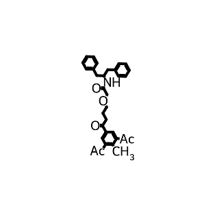 CC(=O)c1cc(C(=O)CCCOCC(=O)NC(Cc2ccccc2)Cc2ccccc2)cc(C(C)=O)c1C